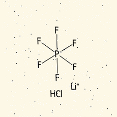 Cl.F[P-](F)(F)(F)(F)F.[Li+]